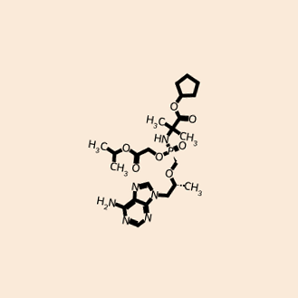 CC(C)OC(=O)CO[P@@](=O)(CO[C@H](C)Cn1cnc2c(N)ncnc21)NC(C)(C)C(=O)OC1CCCC1